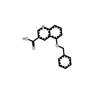 O=C(O)c1cnc2cccc(OCc3ccccc3)c2c1